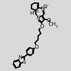 COc1c(OCCCCCOc2ccc(-c3nc4ccccc4s3)cc2)cn2c1C=[N+]([O-])C1=CCCC[C@H]1C2